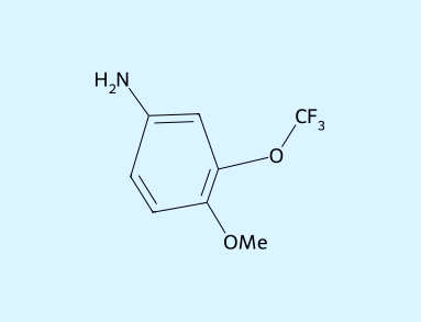 COc1ccc(N)cc1OC(F)(F)F